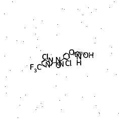 OC[C@H]1C[C@H](Oc2ccc(-c3noc(-c4cn5cc(C(F)(F)F)cc(Cl)c5n4)n3)c(Cl)c2)CN1